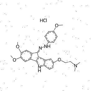 COc1ccc(N/N=C2/c3cc(OC)c(OC)cc3-c3[nH]c4ccc(OCCN(C)C)cc4c32)cc1.Cl